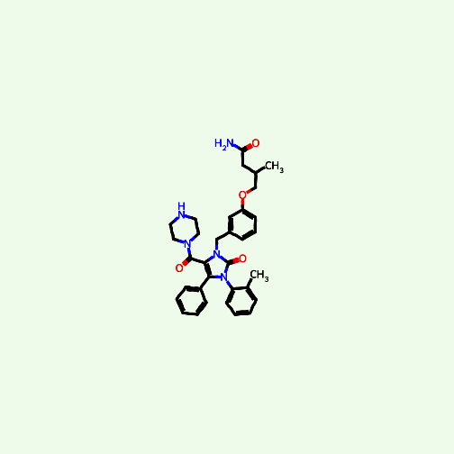 Cc1ccccc1-n1c(-c2ccccc2)c(C(=O)N2CCNCC2)n(Cc2cccc(OCC(C)CC(N)=O)c2)c1=O